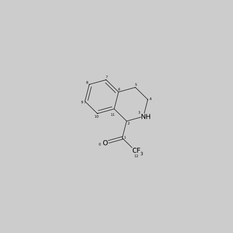 O=C(C1NCCc2cc[c]cc21)C(F)(F)F